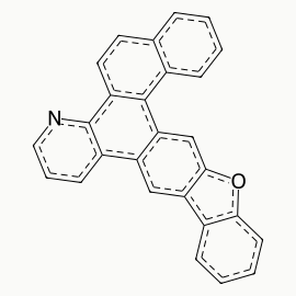 c1ccc2c(c1)ccc1c3ncccc3c3cc4c(cc3c21)oc1ccccc14